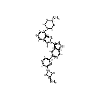 CN1CCN(c2cncc3[nH]c(-c4n[nH]c5cnc(-c6cncc(N7CC(N)C7)n6)cc45)nc23)CC1